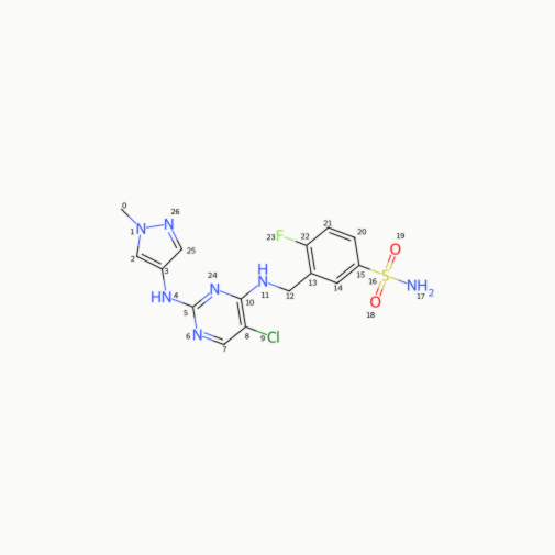 Cn1cc(Nc2ncc(Cl)c(NCc3cc(S(N)(=O)=O)ccc3F)n2)cn1